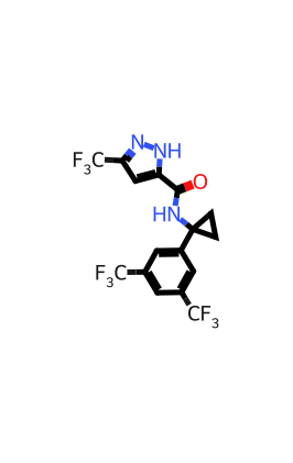 O=C(NC1(c2cc(C(F)(F)F)cc(C(F)(F)F)c2)CC1)c1cc(C(F)(F)F)n[nH]1